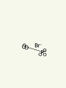 [Br-].c1ccc([P+](CCCCCCCCCCCOC2CCCCO2)(c2ccccc2)c2ccccc2)cc1